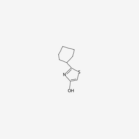 Oc1csc(C2CCCCC2)n1